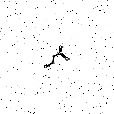 O=[SH](=O)CCCl